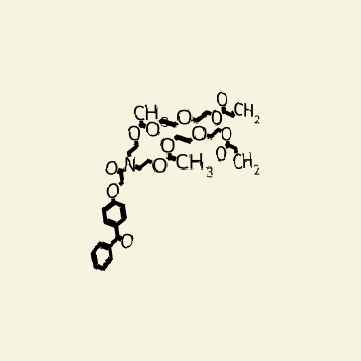 C=CC(=O)OCCOCCOC(C)OCCN(CCOC(C)OCCOCCOC(=O)C=C)C(=O)COc1ccc(C(=O)c2ccccc2)cc1